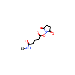 CCNC(=O)CCCC(=O)ON1C(=O)CCC1=O